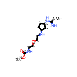 CNC(=N)N[C@H]1CC[C@H](NCCOCCNC(=O)OC(C)(C)C)C1